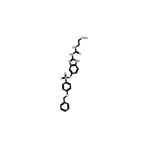 COCCNC(=O)Nc1nc2cc(OS(=O)(=O)c3ccc(OCc4ccccc4)cc3)ccc2[nH]1